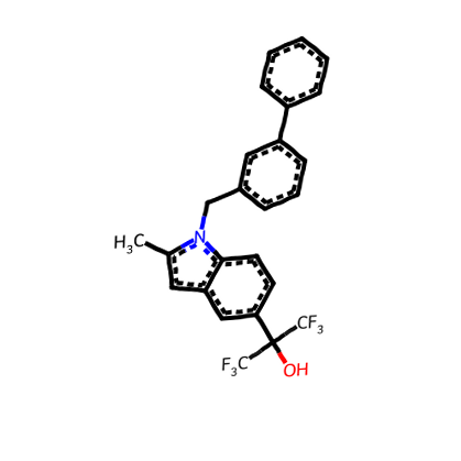 Cc1cc2cc(C(O)(C(F)(F)F)C(F)(F)F)ccc2n1Cc1cccc(-c2ccccc2)c1